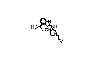 COCCN1CCCC(Nc2nc3cccc(C(=N)N)c3n2O)C1